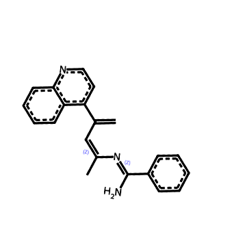 C=C(/C=C(C)\N=C(/N)c1ccccc1)c1ccnc2ccccc12